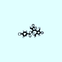 C=C1CC(OC(=O)c2ccc(Cl)cc2)C2C(=C)C(=O)OC2C2C(C)C(=O)CC12